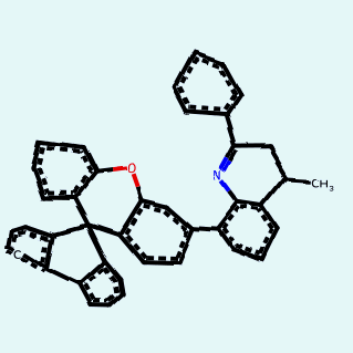 CC1CC(c2ccccc2)=Nc2c(-c3ccc4c(c3)Oc3ccccc3C43c4ccccc4-c4ccccc43)cccc21